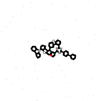 c1ccc(-c2ccc(-c3nc(-c4ccccc4)nc(-c4cccc5oc6ccc(-c7cccc8oc9c(-n%10c%11ccccc%11c%11ccccc%11%10)cccc9c78)cc6c45)n3)cc2)cc1